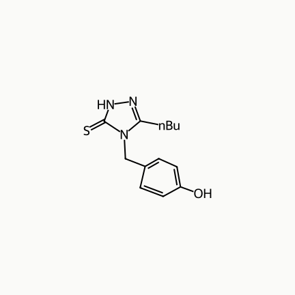 CCCCc1n[nH]c(=S)n1Cc1ccc(O)cc1